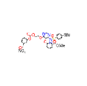 COCc1cccc(Oc2c(NS(=O)(=O)c3ccc(C(C)(C)C)cc3)ncnc2OCCOC(=O)Oc2cccc(CO[N+](=O)[O-])c2)c1